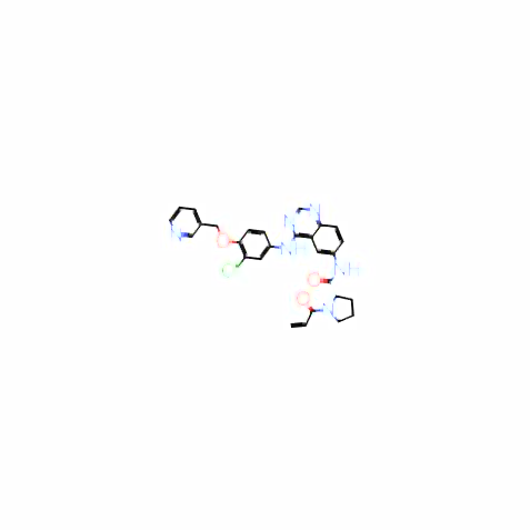 C=CC(=O)N1CCC[C@H]1C(=O)Nc1ccc2ncnc(Nc3ccc(OCc4cccnc4)c(Cl)c3)c2c1